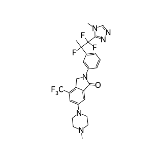 CN1CCN(c2cc3c(c(C(F)(F)F)c2)CN(c2cccc(C(C)(F)C(F)(F)c4nncn4C)c2)C3=O)CC1